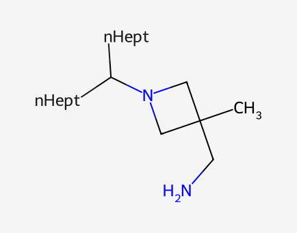 CCCCCCCC(CCCCCCC)N1CC(C)(CN)C1